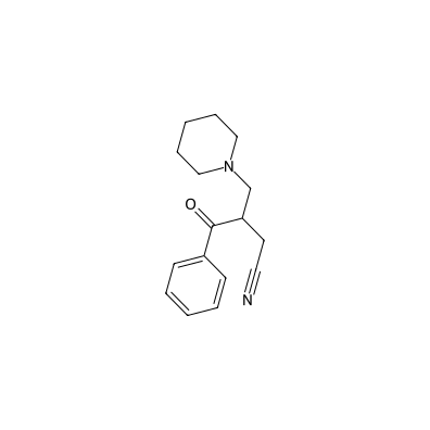 N#CCC(CN1CCCCC1)C(=O)c1ccccc1